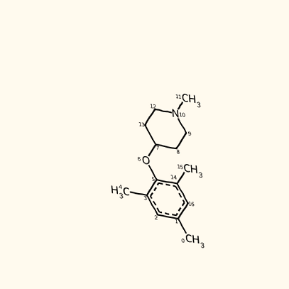 Cc1cc(C)c(OC2CCN(C)CC2)c(C)c1